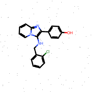 Oc1ccc(-c2nc3ccccn3c2NCc2ccccc2Cl)cc1